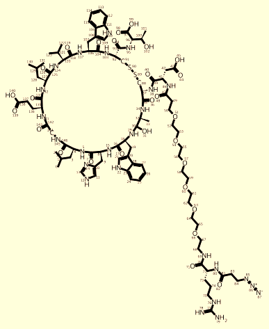 CC(C)C[C@@H]1NC(=O)[C@H](Cc2c[nH]cn2)NC(=O)[C@H](Cc2c[nH]c3ccccc23)NC(O)[C@H](C)NC(=O)[C@@H](NC(=O)[C@H](CC(=O)O)NC(=O)CCOCCOCCOCCOCCOCCOCCNC(=O)[C@@H](CCCNC(=N)N)NC(=O)CCN=[N+]=[N-])CSSC[C@@H](C(=O)N[C@H](C(=O)O)[C@@H](C)O)NC(=O)[C@H](Cc2c[nH]c3ccccc23)NC(=O)[C@H](C(C)C)NC(=O)[C@H](CC(C)C)NC(=O)[C@H](CCC(=O)O)NC(=O)CNC1=O